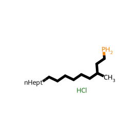 CCCCCCCCCCCCCC(C)CCP.Cl